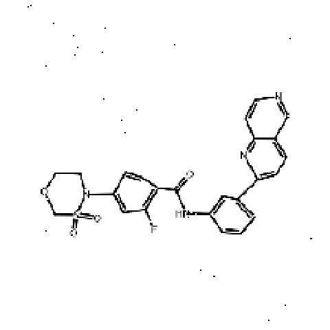 O=C(Nc1cccc(-c2ccc3cnccc3n2)c1)c1ccc(N2CCOCS2(=O)=O)cc1F